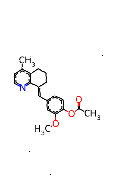 COc1cc(C=C2CCCc3c(C)ccnc32)ccc1OC(C)=O